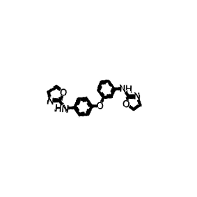 c1cc(NC2=NCCO2)cc(Oc2ccc(NC3=NCCO3)cc2)c1